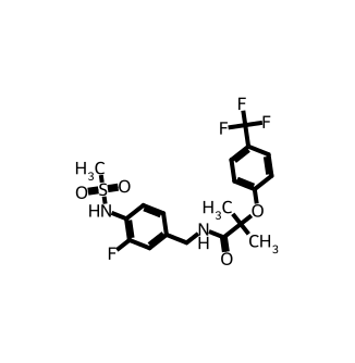 CC(C)(Oc1ccc(C(F)(F)F)cc1)C(=O)NCc1ccc(NS(C)(=O)=O)c(F)c1